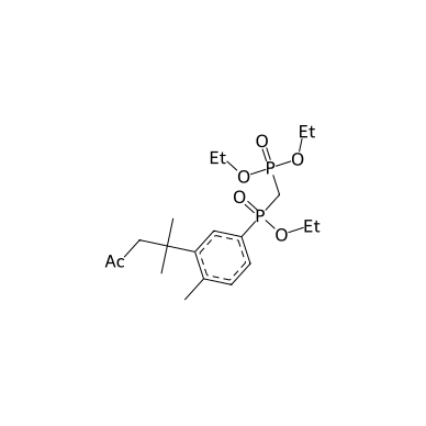 CCOP(=O)(CP(=O)(OCC)c1ccc(C)c(C(C)(C)CC(C)=O)c1)OCC